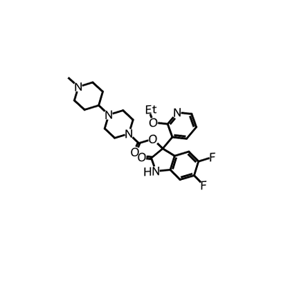 CCOc1ncccc1C1(OC(=O)N2CCN(C3CCN(C)CC3)CC2)C(=O)Nc2cc(F)c(F)cc21